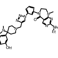 CCNc1ncc2c(n1)N(C)CCN(c1cccc(-n3cc(CN4CCC(c5cccc(O)c5)(N(C)C)CC4)nn3)c1)C2=O